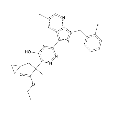 CCOC(=O)C(C)(CC1CC1)c1nnc(-c2nn(Cc3ccccc3F)c3ncc(F)cc23)nc1O